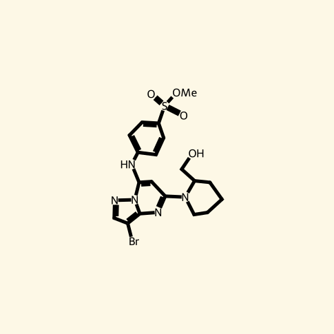 COS(=O)(=O)c1ccc(Nc2cc(N3CCCCC3CO)nc3c(Br)cnn23)cc1